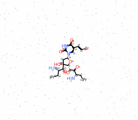 CC(C)C[C@@H](N)C(=O)C(O)[C@H]1O[C@@H](n2cc(/C=C/Br)c(=O)[nH]c2=O)C[C@@]1(O)C(=O)[C@H](N)CC(C)C